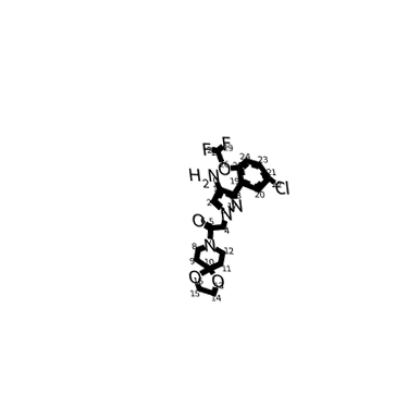 Nc1cn(CC(=O)N2CCC3(CC2)OCCO3)nc1-c1cc(Cl)ccc1OC(F)F